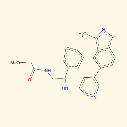 COCC(=O)NCC(Nc1cncc(-c2ccc3[nH]nc(C)c3c2)c1)c1ccccc1